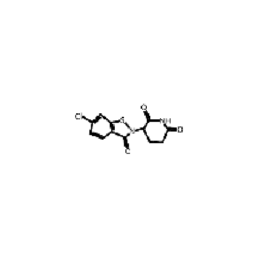 O=C1CCC(n2sc3cc(Cl)ccc3c2=O)C(=O)N1